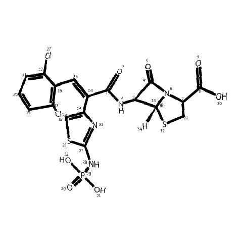 O=C(NC1C(=O)N2C(C(=O)O)CS[C@H]12)C(=Cc1c(Cl)cccc1Cl)c1csc(NP(=O)(O)O)n1